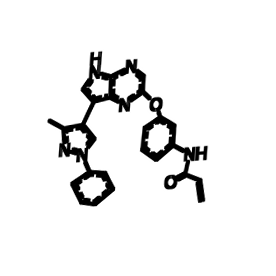 C=CC(=O)Nc1cccc(Oc2cnc3[nH]cc(-c4cn(-c5ccccc5)nc4C)c3n2)c1